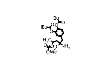 CCC(C)C(=O)Oc1ccc(CC(N)(C[C@H](C)OC(=O)OC)C(=O)O)cc1OC(=O)C(C)CC